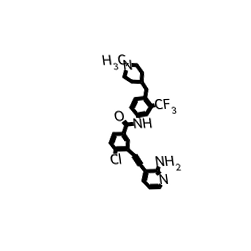 CN1CCC(Cc2ccc(NC(=O)c3ccc(Cl)c(C#Cc4cccnc4N)c3)cc2C(F)(F)F)CC1